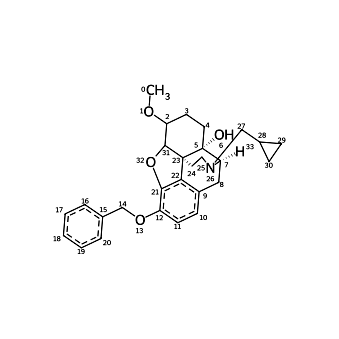 COC1CC[C@@]2(O)[C@H]3Cc4ccc(OCc5ccccc5)c5c4[C@@]2(CCN3CC2CC2)C1O5